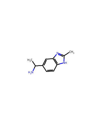 Cc1nc2cc(C(C)N)ccc2[nH]1